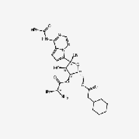 CCCC(=O)Nc1ncnn2c([C@]3(C#N)O[C@H](COC(=O)CC4CCCCC4)[C@@H](OC(=O)[C@@H](N)C(C)C)[C@H]3O)ccc12